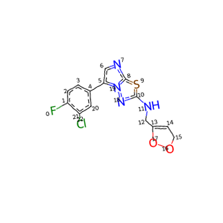 Fc1ccc(-c2cnc3sc(NCC4=CCOO4)nn23)cc1Cl